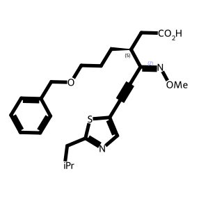 CO/N=C(\C#Cc1cnc(CC(C)C)s1)[C@@H](CCCOCc1ccccc1)CC(=O)O